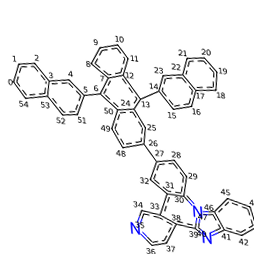 c1ccc2cc(-c3c4ccccc4c(-c4ccc5ccccc5c4)c4cc(-c5ccc6c(c5)c5cnccc5c5nc7ccccc7n65)ccc34)ccc2c1